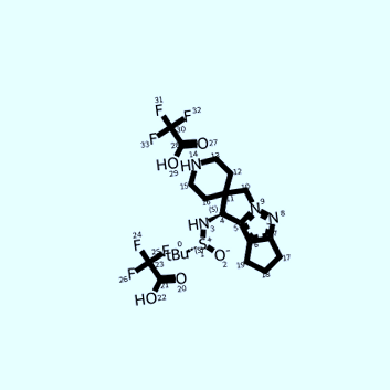 CC(C)(C)[S@@+]([O-])N[C@@H]1c2c3c(nn2CC12CCNCC2)CCC3.O=C(O)C(F)(F)F.O=C(O)C(F)(F)F